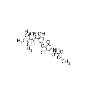 CCOC(=O)C(=O)Nc1cc(Cl)c(Oc2ccc(O)c(C(=O)NC(C(C)C)C(C)C)c2)c(Cl)c1